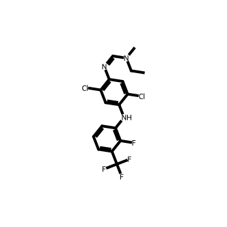 CCN(C)/C=N\c1cc(Cl)c(Nc2cccc(C(F)(F)F)c2F)cc1Cl